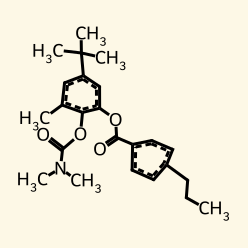 CCCc1ccc(C(=O)Oc2cc(C(C)(C)C)cc(C)c2OC(=O)N(C)C)cc1